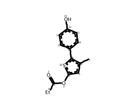 CCC(=O)Oc1cc(C)c(-c2ccc(O)cc2)s1